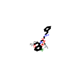 CCS(=O)(=O)N(CC(=O)OCCNCCc1ccccc1)C1CC(C)(C)Oc2ccc(F)cc21